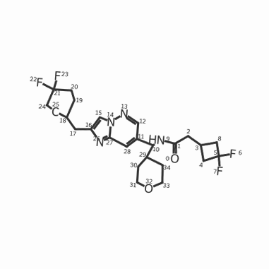 O=C(CC1CC(F)(F)C1)NC(c1cnn2cc(CC3CCC(F)(F)CC3)nc2c1)C1CCOCC1